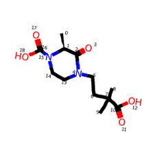 C[C@H]1C(=O)N(CCC(C)(C)C(=O)O)CCN1C(=O)O